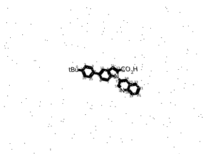 CC(C)(C)c1ccc(-c2ccc3c(c2)cc(C(=O)O)n3-c2cnc3ccccc3c2)cc1